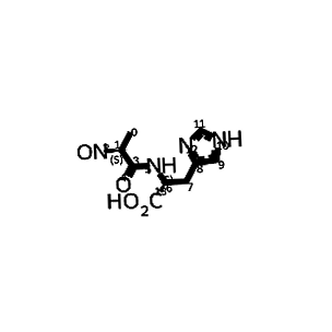 C[C@H](N=O)C(=O)N[C@@H](Cc1c[nH]cn1)C(=O)O